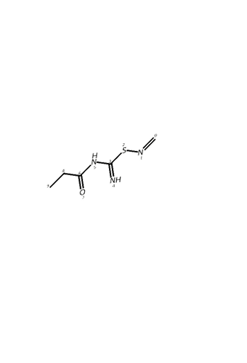 C=NSC(=N)NC(=O)CC